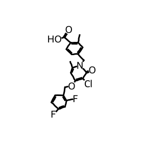 Cc1cc(Cn2c(C)cc(OCc3ccc(F)cc3F)c(Cl)c2=O)ccc1C(=O)O